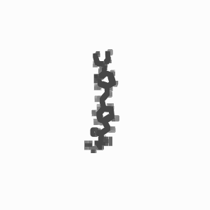 CCN(CC)c1ccc(CCc2ccc(CC(=O)NN)cc2)cn1